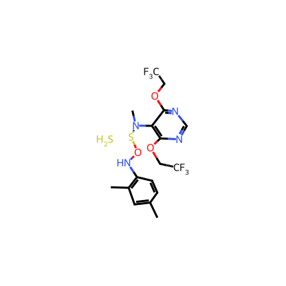 Cc1ccc(NOSN(C)c2c(OCC(F)(F)F)ncnc2OCC(F)(F)F)c(C)c1.S